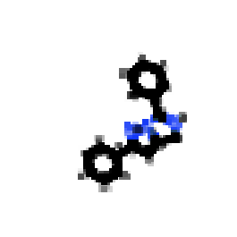 c1ccc(C2=NCc3cc(-c4ccccc4)nn32)cc1